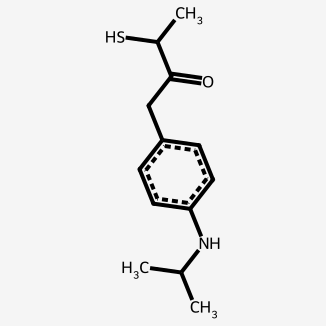 CC(C)Nc1ccc(CC(=O)C(C)S)cc1